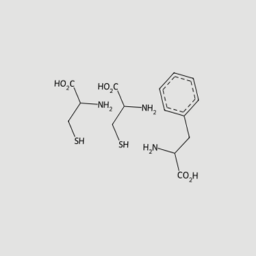 NC(CS)C(=O)O.NC(CS)C(=O)O.NC(Cc1ccccc1)C(=O)O